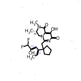 C/C=C(\C=C(/C)C(F)F)C1(Cc2nc(=O)c(O)c3n2C[C@H](C)N(C)C3=O)CCCC1